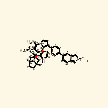 Cn1cc2cc(-c3ccc(-c4ccn5c(N)c(S(C)(=O)=O)c([C@@H]6C[C@H]7CC[C@@H](C6)N7C(=O)c6nnc[nH]6)nc45)cn3)ccc2n1